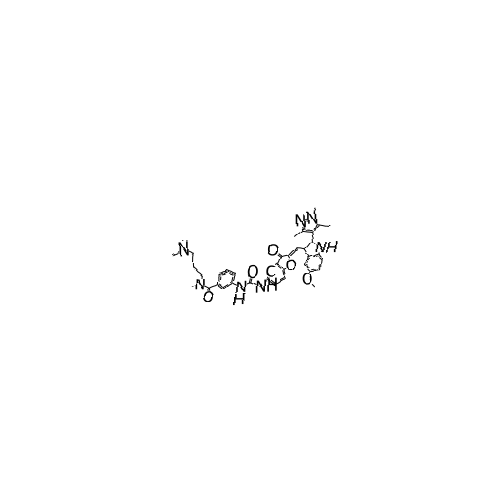 COc1ccc2c(c1)C(/C=C1\Oc3ccc(NC(=O)Nc4cccc(C(=O)N(C)CCCN(C)C)c4)cc3C1=O)C(c1c(C)nn(C)c1C)N2